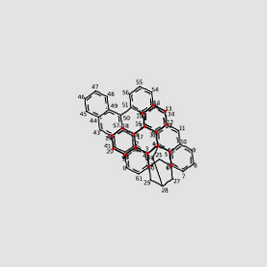 c1ccc(-c2c3ccccc3cc3cccc(-c4ccccc4C4C5CC6CC(C5)CC4(c4ccccc4-c4cccc5cc7ccccc7c(-c7ccccc7)c45)C6)c23)cc1